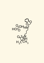 CC1(C)CC(=O)S/C(=N\CCCCNCC2COc3ccccc3O2)N1.O=C(O)C(=O)O